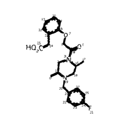 CC1CN(C(=O)COc2ccccc2CC(=O)O)C(C)CN1Cc1ccc(F)cc1